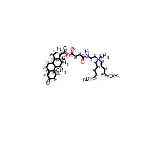 CCCCCCCCCCCCCC[N+](C)(CCCCCCCCCCCCCC)CCNC(=O)CCC(=O)O[C@@H](C)[C@H]1CCC2C3CCC4=CC(=O)CC[C@]4(C)C3CC[C@@]21C